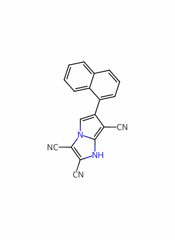 N#Cc1[nH]c2c(C#N)c(-c3cccc4ccccc34)cn2c1C#N